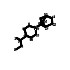 CCC(C)C1CCN(C2CC3CCC2C3)CC1